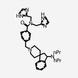 CCCN(CCC)C1CC2(CCN(Cc3ccc(C(=O)N(Cc4ncc[nH]4)Cc4ncc[nH]4)cc3)CC2)c2ccccc21